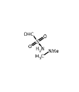 CNC.NS(=O)(=O)C=O